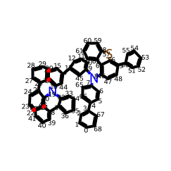 c1ccc(-c2ccc(N(c3cccc(-c4cccc(N(c5ccccc5-c5ccccc5)c5ccccc5-c5ccccc5)c4)c3)c3ccc(-c4ccccc4)c4sc5ccccc5c34)cc2)cc1